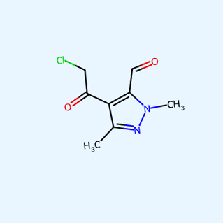 Cc1nn(C)c(C=O)c1C(=O)CCl